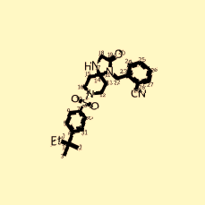 CCC(C)(C)c1ccc(S(=O)(=O)N2CCC3(CC2)NCC(=O)N3Cc2ccccc2C#N)cc1